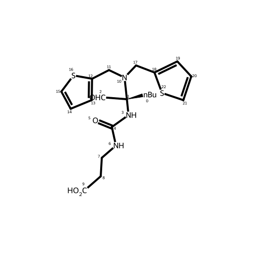 CCCC[C@](C=O)(NC(=O)NCCC(=O)O)N(Cc1cccs1)Cc1cccs1